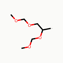 [CH2]C(COCOC)OCOC